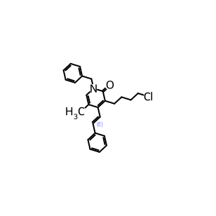 Cc1cn(Cc2ccccc2)c(=O)c(CCCCCl)c1/C=C/c1ccccc1